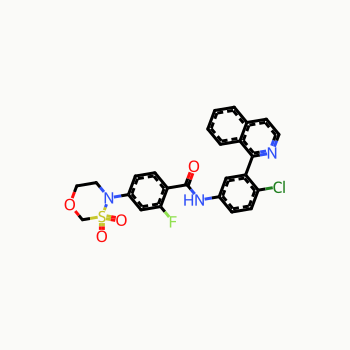 O=C(Nc1ccc(Cl)c(-c2nccc3ccccc23)c1)c1ccc(N2CCOCS2(=O)=O)cc1F